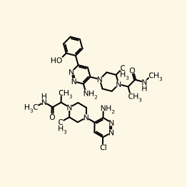 CNC(=O)C(C)N1CCN(c2cc(-c3ccccc3O)nnc2N)CC1C.CNC(=O)C(C)N1CCN(c2cc(Cl)nnc2N)CC1C